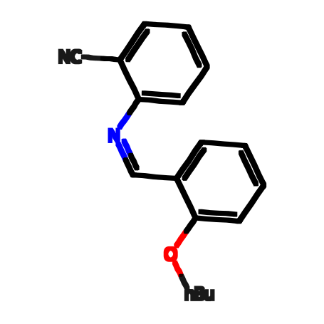 CCCCOc1ccccc1/C=N\c1ccccc1C#N